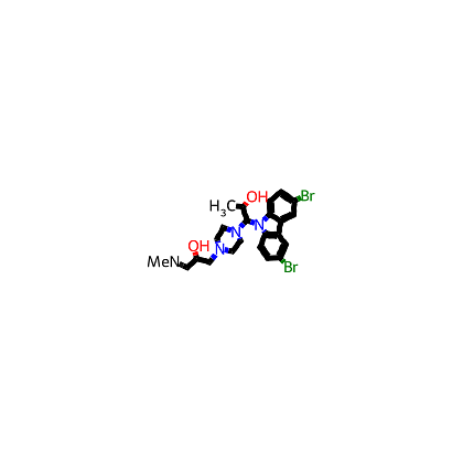 CNCC(O)CN1CCN(C(C(C)O)n2c3ccc(Br)cc3c3cc(Br)ccc32)CC1